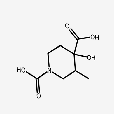 CC1CN(C(=O)O)CCC1(O)C(=O)O